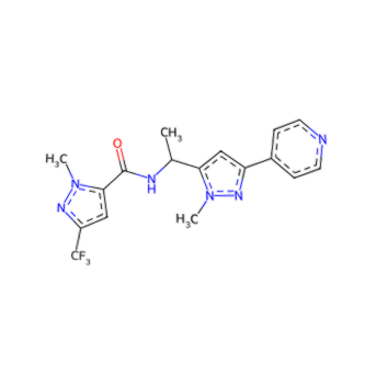 CC(NC(=O)c1cc(C(F)(F)F)nn1C)c1cc(-c2ccncc2)nn1C